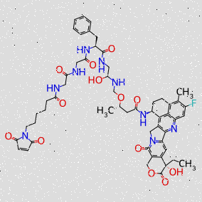 CC[C@@]1(O)C(=O)OCc2c1cc1n(c2=O)Cc2c-1nc1cc(F)c(C)c3c1c2[C@@H](NC(=O)C[C@H](C)OCNC(O)CNC(=O)[C@H](Cc1ccccc1)NC(=O)CNC(=O)CNC(=O)CCCCCN1C(=O)C=CC1=O)CC3